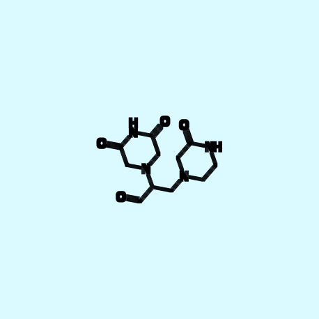 O=CC(CN1CCNC(=O)C1)N1CC(=O)NC(=O)C1